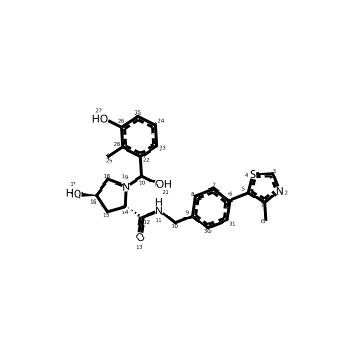 Cc1ncsc1-c1ccc(CNC(=O)[C@@H]2C[C@@H](O)CN2C(O)c2cccc(O)c2C)cc1